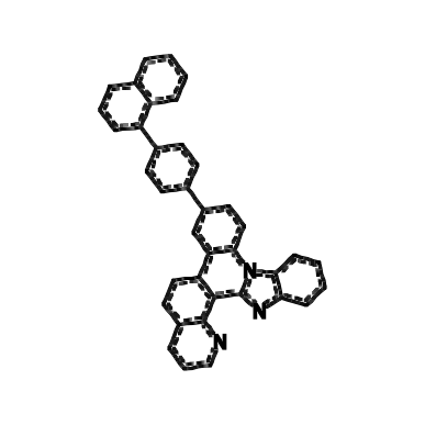 c1ccc2c(-c3ccc(-c4ccc5c(c4)c4ccc6cccnc6c4c4nc6ccccc6n54)cc3)cccc2c1